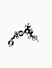 CNC(=O)c1csc2c(C(F)(F)F)cc(N3CCN(S(=O)(=O)CCCN4CCOCC4)CC3)nc12